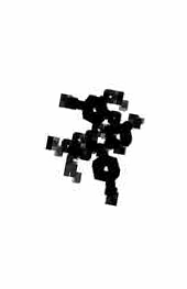 Cc1cc(C#N)cc(C)c1Oc1nc(N(C(=O)OC(C)(C)C)c2ccc(C#N)cc2)ncc1Br